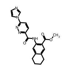 COC(=O)c1cc2c(cc1NC(=O)c1ccc(-n3ccnc3)nn1)CCCC2